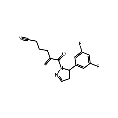 C=C(CCCC#N)C(=O)N1N=CCC1c1cc(F)cc(F)c1